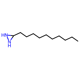 CCCCCCCCCCC1NN1